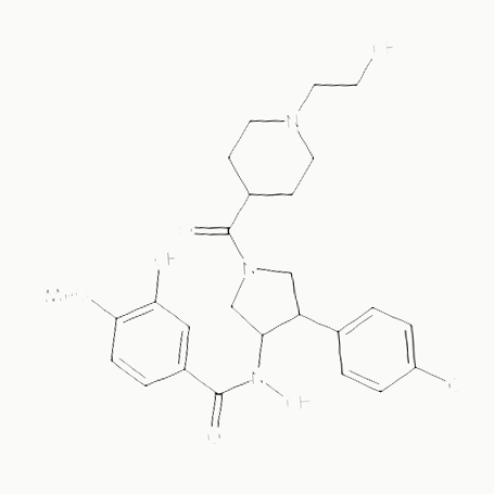 COc1ccc(C(=O)N(C)C2CN(C(=O)C3CCN(CCC(F)(F)F)CC3)CC2c2ccc(Cl)cc2)cc1C(F)(F)F